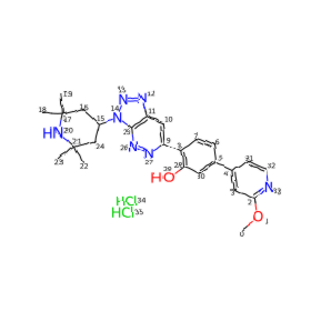 COc1cc(-c2ccc(-c3cc4nnn(C5CC(C)(C)NC(C)(C)C5)c4nn3)c(O)c2)ccn1.Cl.Cl